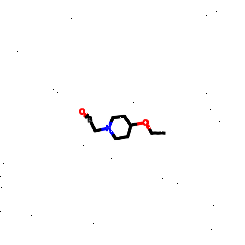 CCOC1CCN(CB=O)CC1